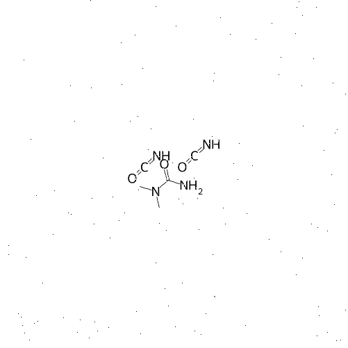 CN(C)C(N)=O.N=C=O.N=C=O